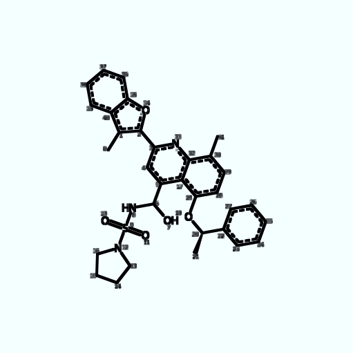 Cc1c(-c2cc(C(O)NS(=O)(=O)N3CCCC3)c3c(O[C@H](C)c4ccccc4)ccc(C)c3n2)oc2ccccc12